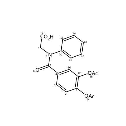 CC(=O)Oc1ccc(C(=O)N(CC(=O)O)c2ccccc2)cc1OC(C)=O